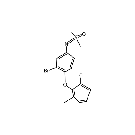 Cc1cccc(Cl)c1Oc1ccc(N=S(C)(C)=O)cc1Br